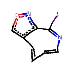 I/C1=N/C=C/C=C/c2conc21